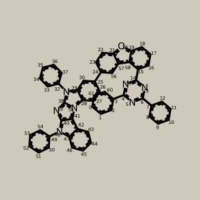 c1ccc(-c2nc(-c3ccccc3)nc(-c3cccc4oc5ccc(-c6ccc7c(c6)n(-c6ccccc6)c6nc8c(c9ccccc9n8-c8ccccc8)n76)cc5c34)n2)cc1